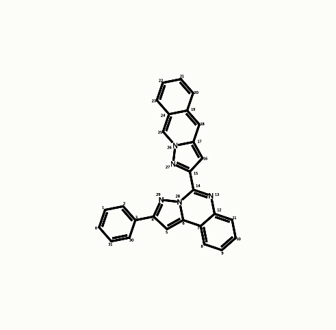 c1ccc(-c2cc3c4ccccc4nc(-c4cc5cc6ccccc6cn5n4)n3n2)cc1